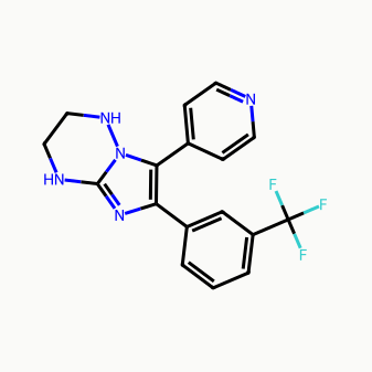 FC(F)(F)c1cccc(-c2nc3n(c2-c2ccncc2)NCCN3)c1